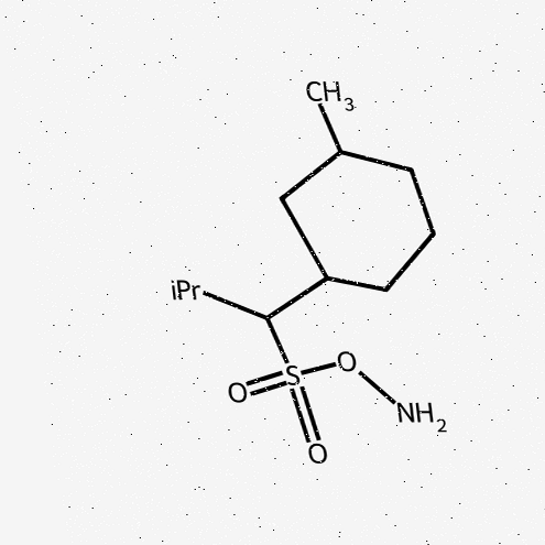 CC1CCCC(C(C(C)C)S(=O)(=O)ON)C1